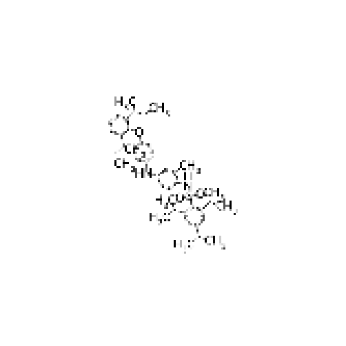 CCC(C)c1cccc(C(C)CC)c1Oc1ccc(Nc2ccc(NS(=O)(=O)c3c(C(C)C)cc(C(C)C)cc3C(C)C)c(C)c2)cc1